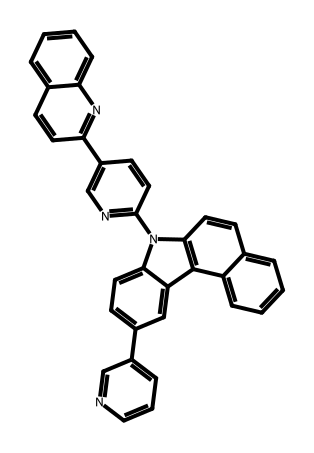 c1cncc(-c2ccc3c(c2)c2c4ccccc4ccc2n3-c2ccc(-c3ccc4ccccc4n3)cn2)c1